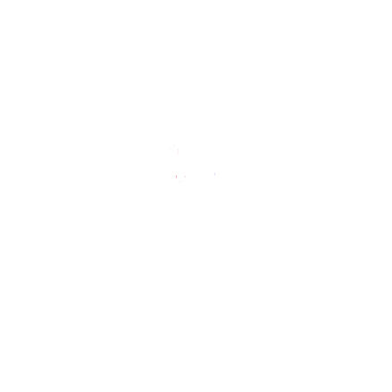 I/C=C/[C@H](CCc1ccccc1)OC1CCCCO1